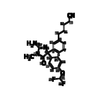 CN1C(=O)C(c2cccc(CCCCC#N)c2)(C2C=CC(OC(F)F)=CC2)N=C1N